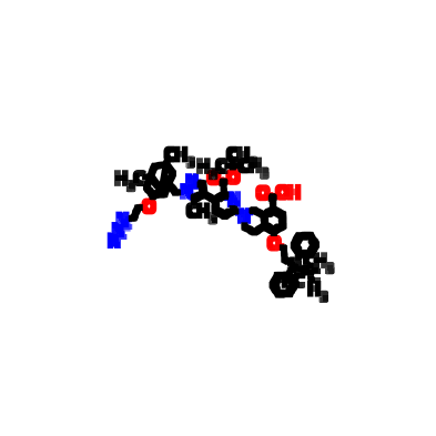 Cc1c(-c2ccc(N3CCc4c(OCC[Si](c5ccccc5)(c5ccccc5)C(C)(C)C)ccc(C(=O)O)c4C3)nc2C(=O)OC(C)(C)C)cnn1CC12CC3(C)CC(C)(C1)CC(OCCN=[N+]=[N-])(C3)C2